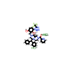 COc1ccc(-n2nnnc2C(F)(F)F)c(OC)c1CN1CC(C(c2ccccc2)c2ccccc2)N2CCN(C(=O)c3ccccn3)C[C@H]2C1.Cl.Cl.Cl